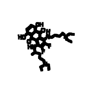 CCN(CC)CCCCNc1c(F)c(F)c(NC(C)CCCN(CC)CC)c2c1C(=O)c1c(O)ccc(O)c1C2=O